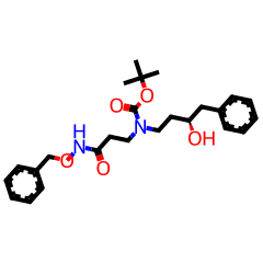 CC(C)(C)OC(=O)N(CCC(=O)NOCc1ccccc1)CC[C@H](O)Cc1ccccc1